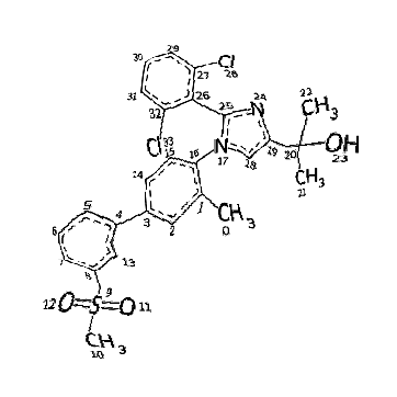 Cc1cc(-c2cccc(S(C)(=O)=O)c2)ccc1-n1cc(C(C)(C)O)nc1-c1c(Cl)cccc1Cl